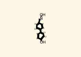 O/N=C/c1ccc(-c2ccc(O)cc2)cc1